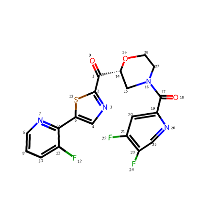 O=C(c1ncc(-c2ncccc2F)s1)[C@H]1CN(C(=O)c2cc(F)c(F)cn2)CCO1